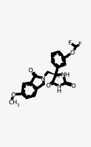 COc1ccc2c(c1)C(=O)N(C[C@@]1(c3cccc(OC(F)F)c3)NC(=O)NC1=O)C2